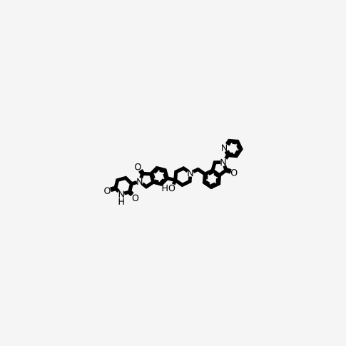 O=C1CCC(N2Cc3cc(C4(O)CCN(Cc5cccc6c5CN(c5ccccn5)C6=O)CC4)ccc3C2=O)C(=O)N1